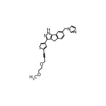 COCCOCC#Cc1cc(-c2n[nH]c3c2Cc2ccc(Cn4ccnc4)cc2-3)cs1